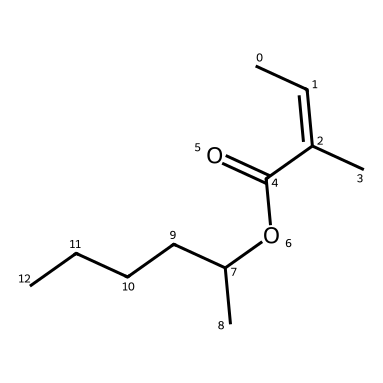 CC=C(C)C(=O)OC(C)CCCC